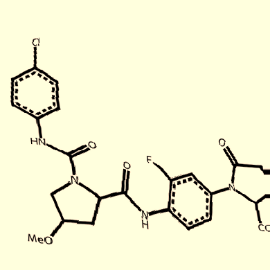 COC1CC(C(=O)Nc2ccc(N3C(=O)CCC3C(=O)O)cc2F)N(C(=O)Nc2ccc(Cl)cc2)C1